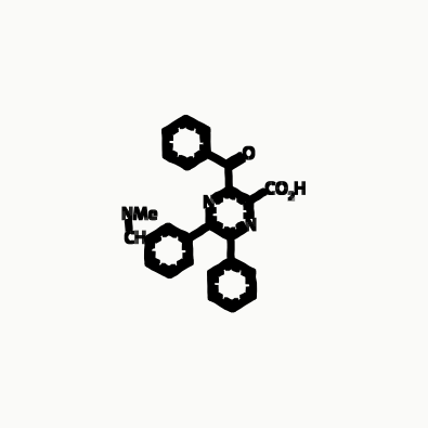 CNC.O=C(O)c1nc(-c2ccccc2)c(-c2ccccc2)nc1C(=O)c1ccccc1